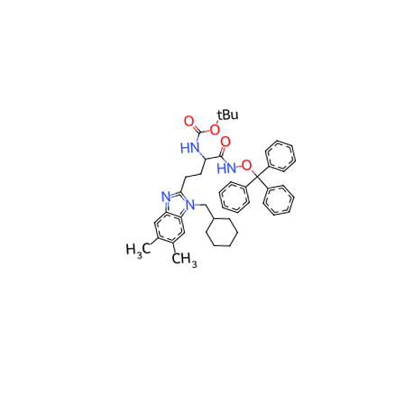 Cc1cc2nc(CCC(NC(=O)OC(C)(C)C)C(=O)NOC(c3ccccc3)(c3ccccc3)c3ccccc3)n(CC3CCCCC3)c2cc1C